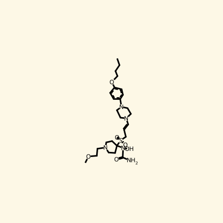 CCCCOc1ccc(N2CCN(C=CCS(=O)(=O)C3(N(O)C(N)=O)CCN(CCOC)CC3)CC2)cc1